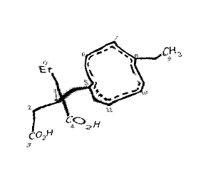 CCC(CC(=O)O)(C(=O)O)c1ccc(C)cc1